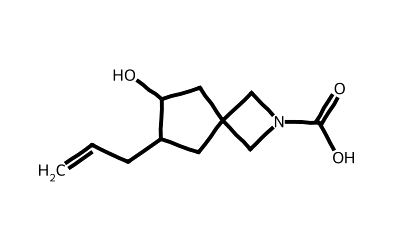 C=CCC1CC2(CC1O)CN(C(=O)O)C2